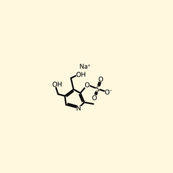 Cc1ncc(CO)c(CO)c1OS(=O)(=O)[O-].[Na+]